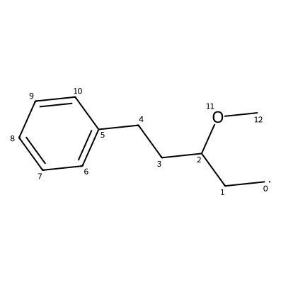 [CH2]CC(CCc1ccccc1)OC